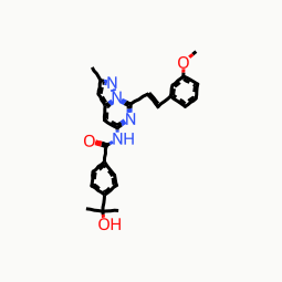 COc1cccc(C=Cc2nc(NC(=O)c3ccc(C(C)(C)O)cc3)cc3cc(C)nn23)c1